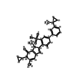 CCS(=O)(=O)c1cc(-c2cccc(C3(C(F)(F)F)CC3)n2)cnc1-c1nc2cc(C(F)(F)F)n(C3CC3)c(=O)c2n1C